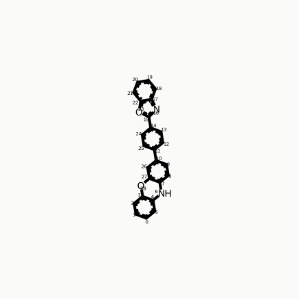 c1ccc2c(c1)Nc1ccc(-c3ccc(-c4nc5ccccc5o4)cc3)cc1O2